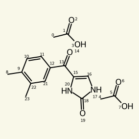 CC(=O)O.CC(=O)O.Cc1ccc(C(=O)c2c[nH]c(=O)[nH]2)cc1C